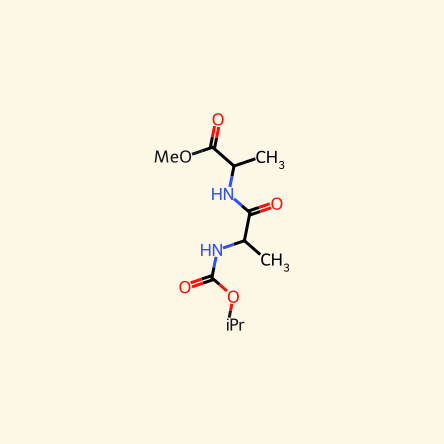 COC(=O)C(C)NC(=O)C(C)NC(=O)OC(C)C